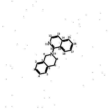 [C]1c2ccccc2CCN1c1nccc2ccccc12